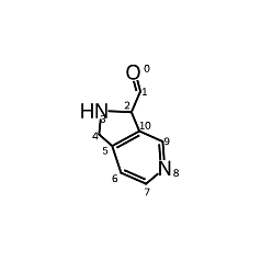 O=CC1NCc2ccncc21